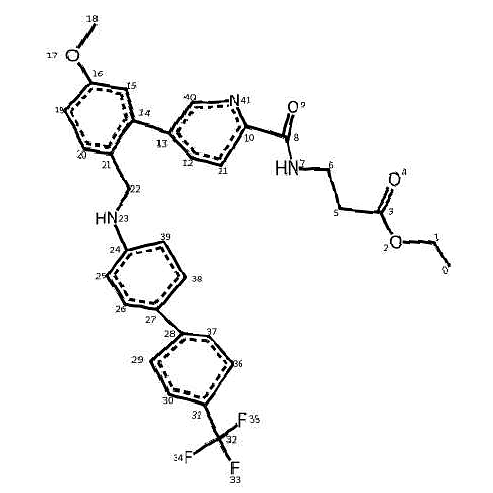 CCOC(=O)CCNC(=O)c1ccc(-c2cc(OC)ccc2CNc2ccc(-c3ccc(C(F)(F)F)cc3)cc2)cn1